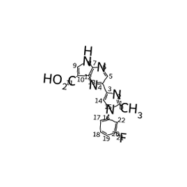 Cc1nc(-c2cnc3[nH]cc(C(=O)O)c3n2)cn1-c1cccc(F)c1